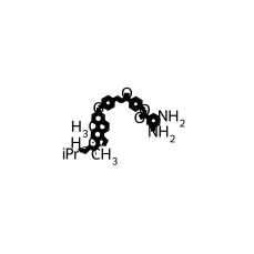 CC(C)CCC[C@@H](C)[C@H]1CCC2C3CC=C4CC(Oc5ccc(C=CC(=O)c6ccc(OC(=O)c7cc(N)cc(N)c7)cc6)cc5)CC[C@]4(C)C3CC[C@@]21C